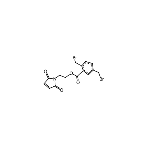 O=C(OCCN1C(=O)C=CC1=O)c1cc(CBr)ccc1CBr